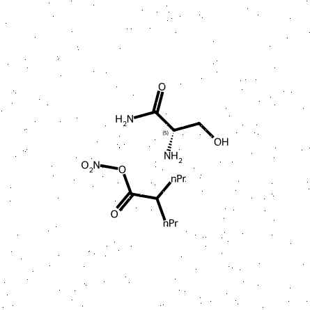 CCCC(CCC)C(=O)O[N+](=O)[O-].NC(=O)[C@@H](N)CO